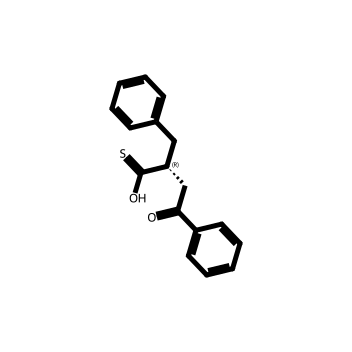 O=C(C[C@@H](Cc1ccccc1)C(O)=S)c1ccccc1